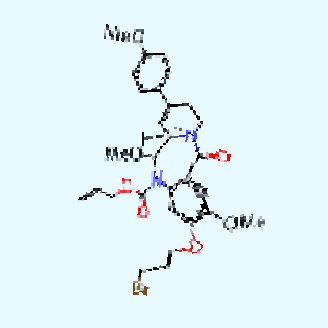 C=CCOC(=O)N1c2cc(OCCCBr)c(OC)cc2C(=O)N2CCC(c3ccc(OC)cc3)=C[C@H]2C1OC